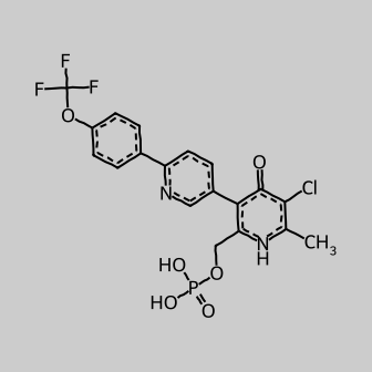 Cc1[nH]c(COP(=O)(O)O)c(-c2ccc(-c3ccc(OC(F)(F)F)cc3)nc2)c(=O)c1Cl